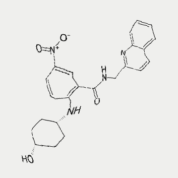 O=C(NCc1ccc2ccccc2n1)c1cc([N+](=O)[O-])ccc1N[C@H]1CC[C@@H](O)CC1